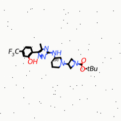 Cc1nc(N[C@@H]2CCCN(C3CN(C(=O)OC(C)(C)C)C3)C2)nnc1-c1ccc(C(F)(F)F)cc1O